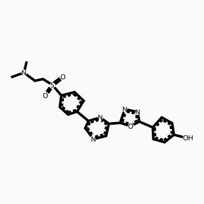 CN(C)CCS(=O)(=O)c1ccc(-c2cncc(-c3nnc(-c4ccc(O)cc4)o3)n2)cc1